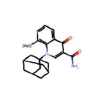 COc1cccc2c(=O)c(C(N)=O)cn(C34CC5CC(CC(C5)C3)C4)c12